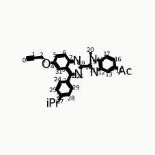 C#CCOc1ccc2nc(-c3nc4cc(C(C)=O)ccc4n3C)nc(-c3ccc(C(C)C)cc3)c2c1